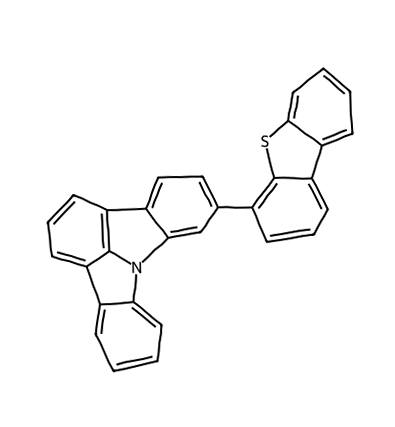 c1ccc2c(c1)sc1c(-c3ccc4c5cccc6c7ccccc7n(c4c3)c65)cccc12